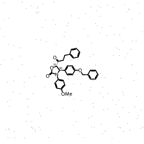 COc1ccc(N2C(=O)O[C@H](C(=O)CCc3ccccc3)[C@H]2c2ccc(OCc3ccccc3)cc2)cc1